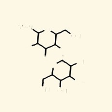 CNC1OC(CO)C(O[C@H]2OC(CO)C(O)C(O)C2O)C(O)C1O